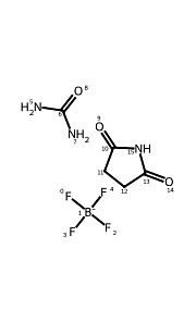 F[B-](F)(F)F.NC(N)=O.O=C1CCC(=O)N1